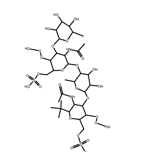 CC(=O)NC1C(OC2C(C)OC(OC3C(NC(C)=O)C(C(C)(C)C)OC(COS(=O)(=O)O)C3OOO)C(O)C2O)OC(COS(=O)(=O)O)C(OOO)C1OC1OC(C)C(O)C(O)C1O